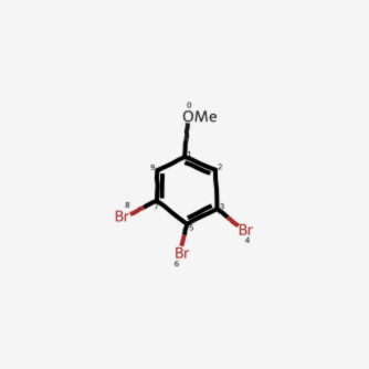 COc1cc(Br)c(Br)c(Br)c1